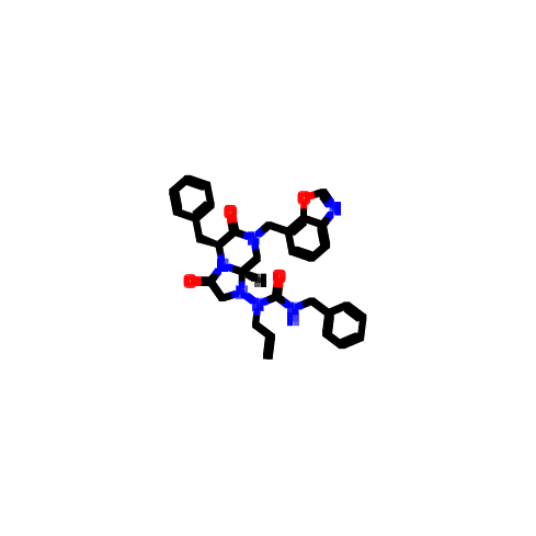 C=CCN(C(=O)NCc1ccccc1)N1CC(=O)N2[C@@H](Cc3ccccc3)C(=O)N(Cc3cccc4ncoc34)C[C@@H]21